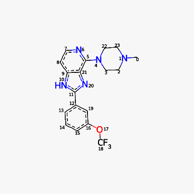 CN1CCN(c2nccc3[nH]c(-c4cccc(OC(F)(F)F)c4)nc23)CC1